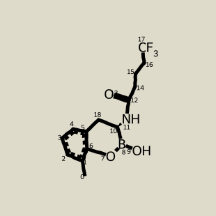 Cc1cccc2c1OB(O)[C@@H](NC(=O)CCCC(F)(F)F)C2